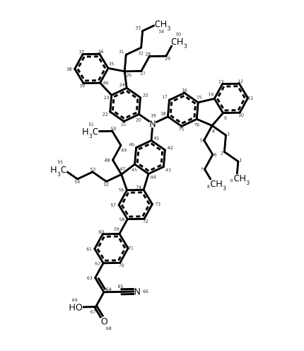 CCCCC1(CCCC)c2ccccc2-c2ccc(N(c3ccc4c(c3)C(CCCC)(CCCC)c3ccccc3-4)c3ccc4c(c3)C(CCCC)(CCCC)c3cc(-c5ccc(/C=C(\C#N)C(=O)O)cc5)ccc3-4)cc21